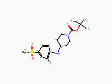 CC(C)(C)OC(=O)N1CCC(Nc2ccc(S(C)(=O)=O)cc2Br)CC1